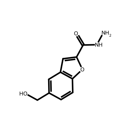 NNC(=O)c1cc2cc(CO)ccc2o1